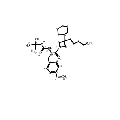 CCCCCC1(C2CCCCC2)CN(C(=O)[C@@H](Cc2ccc(OC)cc2)NC(=O)OC(C)(C)C)C1